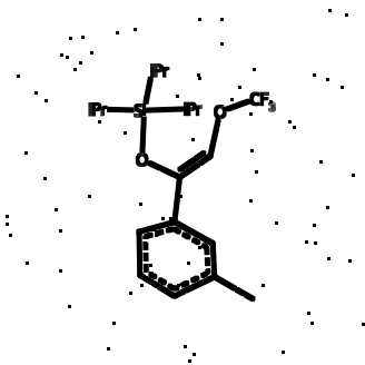 Cc1cccc(C(=COC(F)(F)F)O[Si](C(C)C)(C(C)C)C(C)C)c1